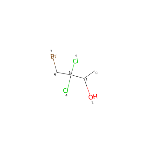 CC(O)C(Cl)(Cl)CBr